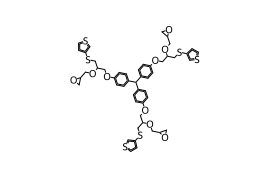 c1cc(SCC(COc2ccc(C(c3ccc(OCC(CSc4ccsc4)OCC4CO4)cc3)c3ccc(OCC(CSc4ccsc4)OCC4CO4)cc3)cc2)OCC2CO2)cs1